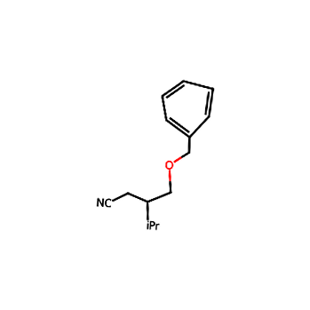 CC(C)C(CC#N)COCc1ccccc1